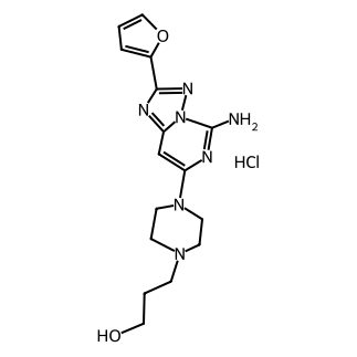 Cl.Nc1nc(N2CCN(CCCO)CC2)cc2nc(-c3ccco3)nn12